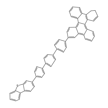 C1=Cc2c(c3ccccc3c3c4ccc(-c5ccc(-c6ccc(-c7ccc(-c8ccc9c(c8)sc8ccccc89)cc7)cc6)cc5)cc4c4ccccc4c23)CC1